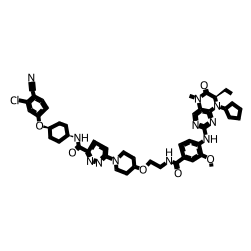 CC[C@@H]1C(=O)N(C)c2cnc(Nc3ccc(C(=O)NCCOC4CCN(c5ccc(C(=O)N[C@H]6CC[C@H](Oc7ccc(C#N)c(Cl)c7)CC6)nn5)CC4)cc3OC)nc2N1C1CCCC1